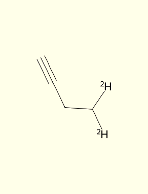 [2H]C([2H])CC#C